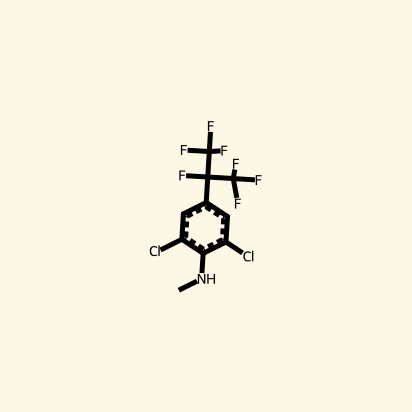 CNc1c(Cl)cc(C(F)(C(F)(F)F)C(F)(F)F)cc1Cl